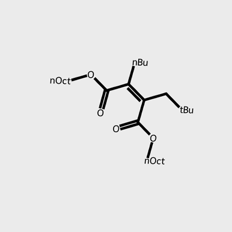 CCCCCCCCOC(=O)/C(CCCC)=C(/CC(C)(C)C)C(=O)OCCCCCCCC